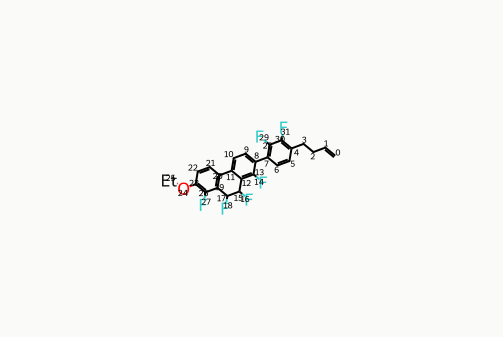 C=CCCc1ccc(-c2ccc3c(c2F)C(F)C(F)c2c-3ccc(OCC)c2F)c(F)c1F